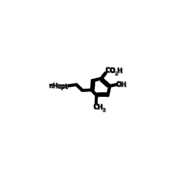 CCCCCCCCCc1cc(C(=O)O)c(O)cc1C